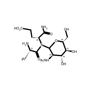 CC(=O)N[C@H]1C(N(C(=O)[C@@H](N)C(C)C)[C@H](CCC(=O)O)C(N)=O)O[C@H](CO)[C@@H](O)[C@@H]1O